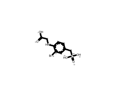 O=C(O)CNc1ccc(CP(=O)(O)O)cc1Br